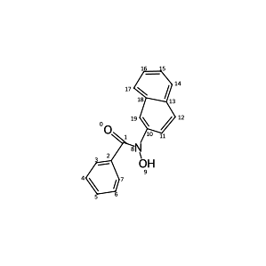 O=C(c1ccccc1)N(O)c1ccc2ccccc2c1